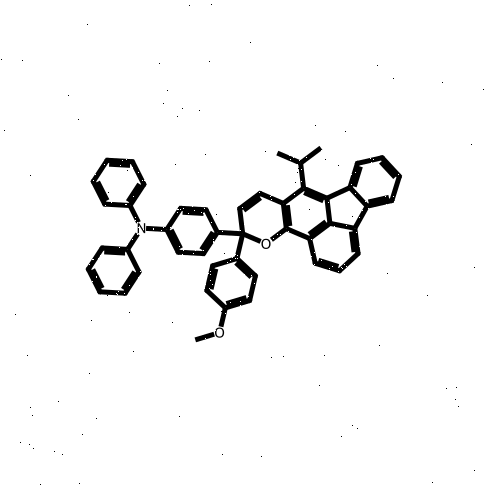 COc1ccc(C2(c3ccc(N(c4ccccc4)c4ccccc4)cc3)C=Cc3c(C(C)C)c4c5c(cccc5c3O2)-c2ccccc2-4)cc1